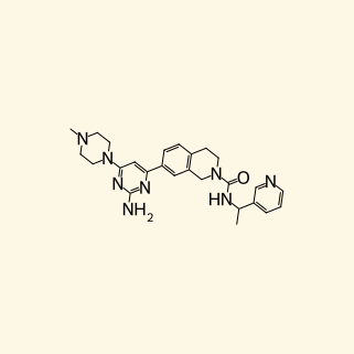 CC(NC(=O)N1CCc2ccc(-c3cc(N4CCN(C)CC4)nc(N)n3)cc2C1)c1cccnc1